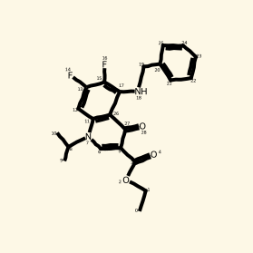 CCOC(=O)c1cn(C(C)C)c2cc(F)c(F)c(NCc3ccccc3)c2c1=O